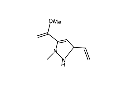 C=CC1C=C(C(=C)OC)N(C)N1